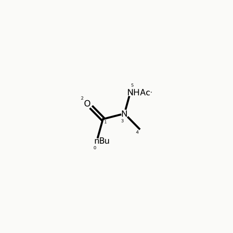 CCCCC(=O)N(C)[N]C(C)=O